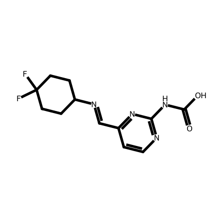 O=C(O)Nc1nccc(/C=N/C2CCC(F)(F)CC2)n1